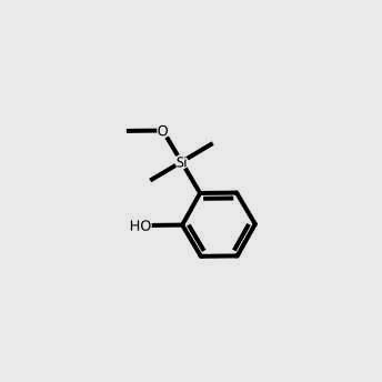 CO[Si](C)(C)c1ccccc1O